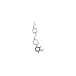 CCCC1CCC(CCC2CCC(c3ccc(C)c(C(F)F)c3F)CC2)CC1